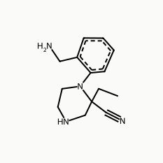 CCC1(C#N)CNCCN1c1ccccc1CN